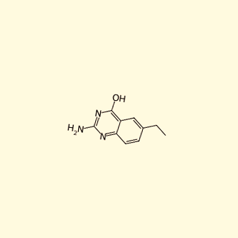 CCc1ccc2nc(N)nc(O)c2c1